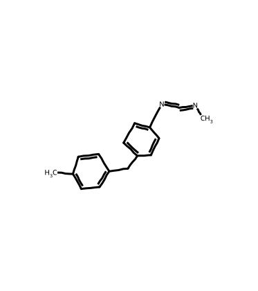 CN=C=Nc1ccc(Cc2ccc(C)cc2)cc1